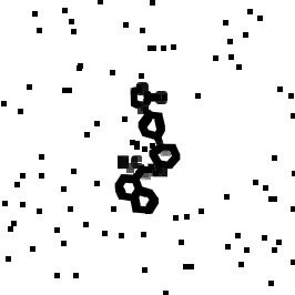 C[C@@H](N[C@H]1CCC[C@H](C2C=CC(N3CCOC3=O)=CC2)C1)c1cccc2ccccc12